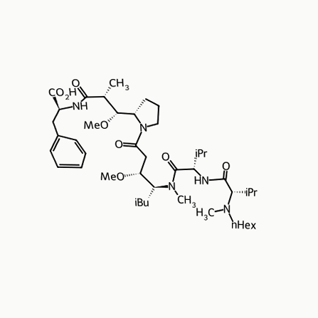 CCCCCCN(C)[C@H](C(=O)N[C@H](C(=O)N(C)[C@@H]([C@@H](C)CC)[C@@H](CC(=O)N1CCC[C@H]1[C@H](OC)[C@@H](C)C(=O)N[C@@H](Cc1ccccc1)C(=O)O)OC)C(C)C)C(C)C